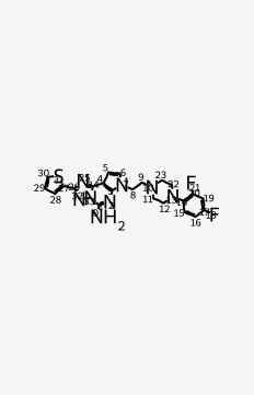 Nc1nc2c(ccn2CCN2CCN(c3ccc(F)cc3F)CC2)c2nc(-c3cccs3)nn12